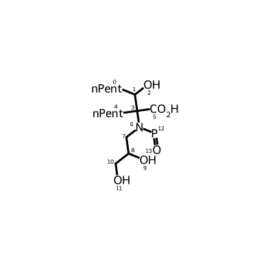 CCCCCC(O)C(CCCCC)(C(=O)O)N(CC(O)CO)P=O